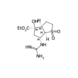 CCOC(=O)[C@@]1(O)C[C@@H](NC(=N)N)[C@H]2[C@@H]1CCS2(=O)=O